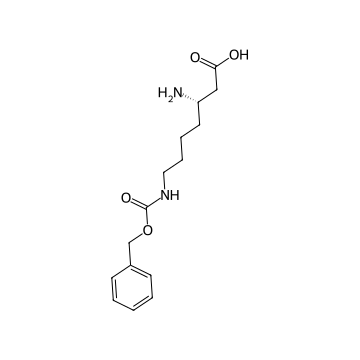 N[C@@H](CCCCNC(=O)OCc1ccccc1)CC(=O)O